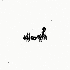 O=C(OCc1ccccc1)N1CCC[C@H]1c1nc2ccc(-c3ccc4cc(-c5cnc([C@@H]6CCCN6)[nH]5)ccc4c3)cc2c(=O)[nH]1